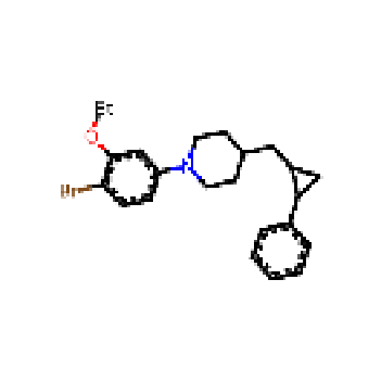 CCOc1cc(N2CCC(CC3CC3c3ccccc3)CC2)ccc1Br